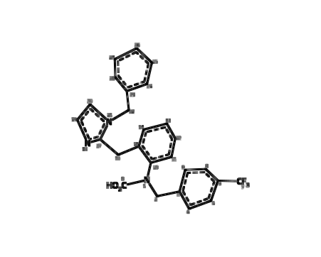 O=C(O)N(Cc1ccc(C(F)(F)F)cc1)c1ccccc1Cc1nccn1Cc1ccccc1